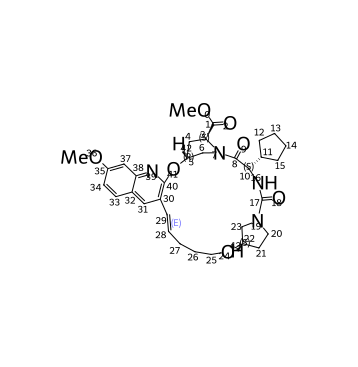 COC(=O)[C@@H]1C[C@@H]2CN1C(=O)[C@H](C1CCCC1)NC(=O)N1CC[C@@H](C1)OCCC/C=C/c1cc3ccc(OC)cc3nc1O2